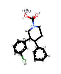 CC(C)(C)OC(=O)N1CCC(c2ccccc2)C(c2cccc(Cl)c2)C1